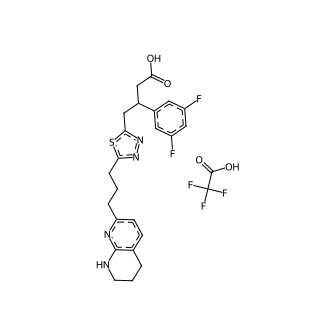 O=C(O)C(F)(F)F.O=C(O)CC(Cc1nnc(CCCc2ccc3c(n2)NCCC3)s1)c1cc(F)cc(F)c1